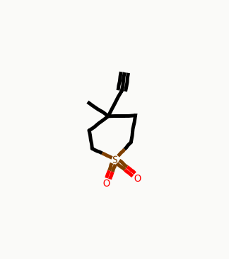 C#CC1(C)CCS(=O)(=O)CC1